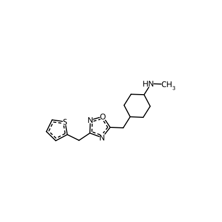 CNC1CCC(Cc2nc(Cc3cccs3)no2)CC1